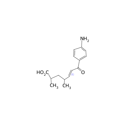 CC(/C=C/C(=O)c1ccc(N)cc1)CC(C)C(=O)O